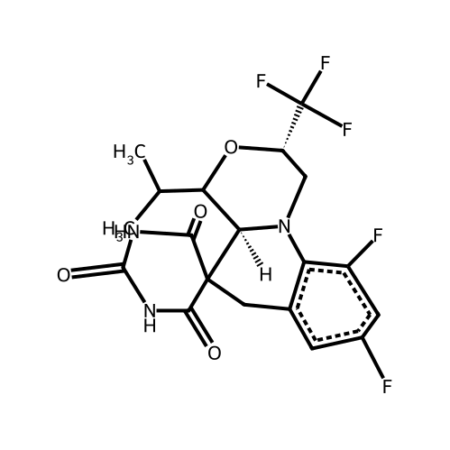 CC(C)C1O[C@H](C(F)(F)F)CN2c3c(F)cc(F)cc3CC3(C(=O)NC(=O)NC3=O)[C@@H]12